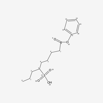 CCCC(CCCCC(=O)Oc1ccccc1)S(=O)(=O)O